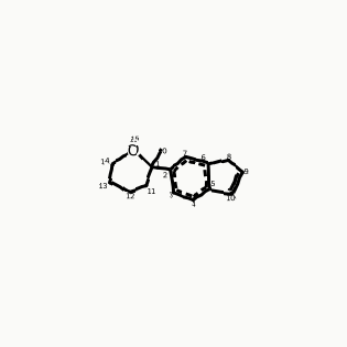 CC1(c2ccc3c(c2)CC=C3)CCCCO1